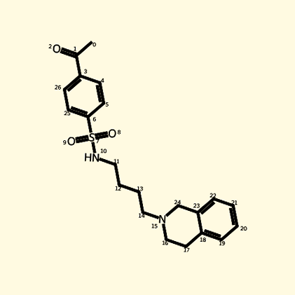 CC(=O)c1ccc(S(=O)(=O)NCCCCN2CCc3ccccc3C2)cc1